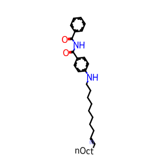 CCCCCCCC/C=C/CCCCCCCCNc1ccc(C(=O)NC(=O)c2ccccc2)cc1